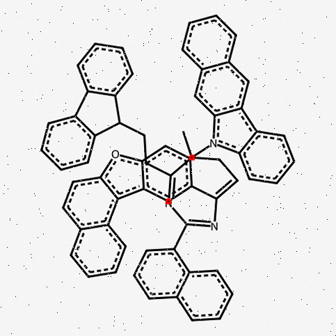 CC1C/C=C(c2cc3c(cc2-n2c4ccccc4c4cc5ccccc5cc42)oc2ccc4ccccc4c23)/N=C(c2cccc3ccccc23)\N=C/1CCC1c2ccccc2-c2ccccc21